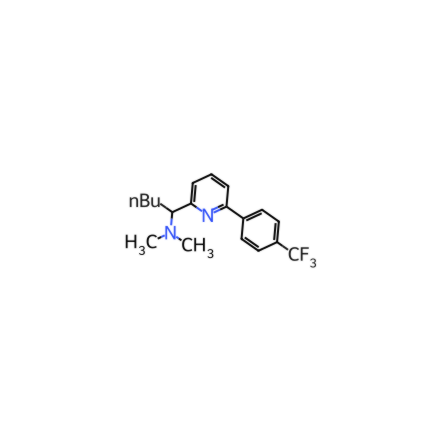 CCCCC(c1cccc(-c2ccc(C(F)(F)F)cc2)n1)N(C)C